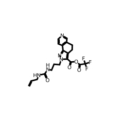 C=CCNC(=O)NCCCn1nc2c(c1C(=O)OC(=O)C(F)(F)F)CCc1cnccc1-2